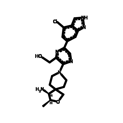 C[C@@H]1OCC2(CCN(c3ncc(-c4cc(Cl)c5c[nH]nc5c4)nc3CO)CC2)[C@@H]1N